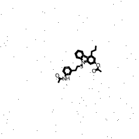 CCCc1cc(OC(C)=O)cc2c1c1ccccc1n2SCCc1cccc(NC(C)=O)c1